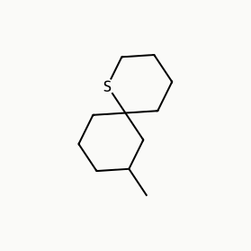 CC1CCCC2(CCCCS2)C1